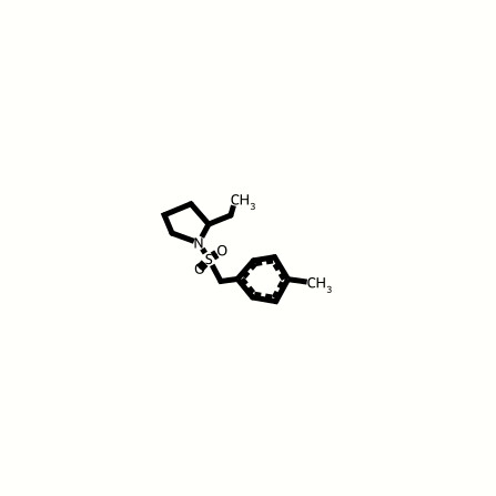 CCC1CCCN1S(=O)(=O)Cc1ccc(C)cc1